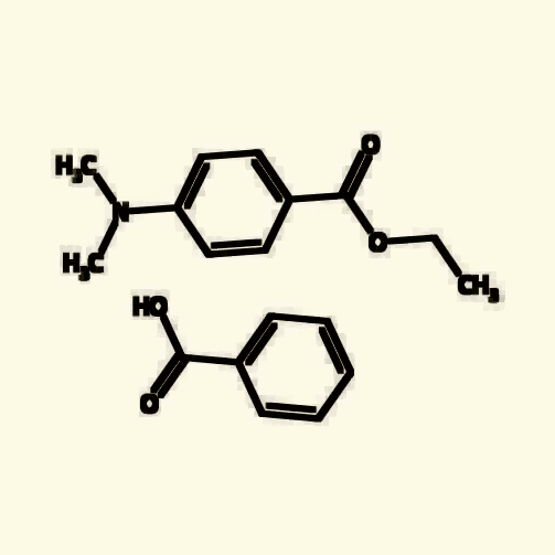 CCOC(=O)c1ccc(N(C)C)cc1.O=C(O)c1ccccc1